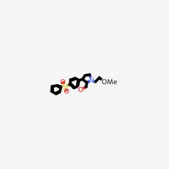 COCCN1CCC2c3ccc(S(=O)(=O)c4ccccc4)cc3OCC21